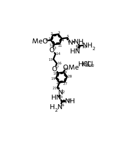 COc1ccc(/C=N/NC(=N)N)cc1OCCCOc1cc(/C=N/NC(=N)N)ccc1OC.Cl.Cl